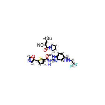 CC(C)(C)C=C(C#N)C(=O)N1CCC[C@@H]1Cn1c(NC(=O)c2ccc(-c3cnco3)s2)nc2cc(CNCC(F)F)ccc21